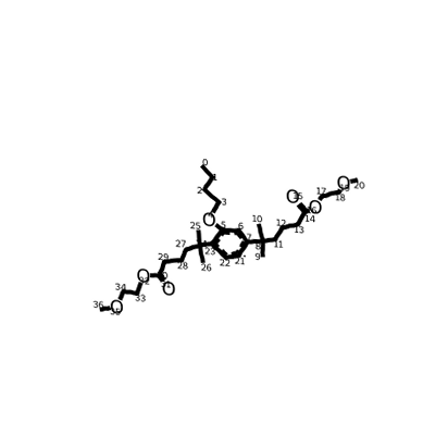 CCCCOc1cc(C(C)(C)CCCC(=O)OCCOC)[c]cc1C(C)(C)CCCC(=O)OCCOC